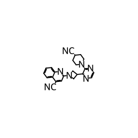 N#Cc1cc(N2CC(c3nccnc3N3CCC(C#N)CC3)C2)nc2ccccc12